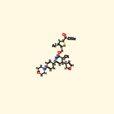 COC(=O)c1cc(C(C)=O)c(COc2nc(-c3ccc(N4CCOCC4)cc3)cc(-c3ccoc3)c2C#N)s1